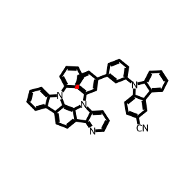 N#Cc1ccc2c(c1)c1ccccc1n2-c1cccc(-c2cccc(-n3c4cccnc4c4ccc5c6ccccc6n(-c6ccccc6)c5c43)c2)c1